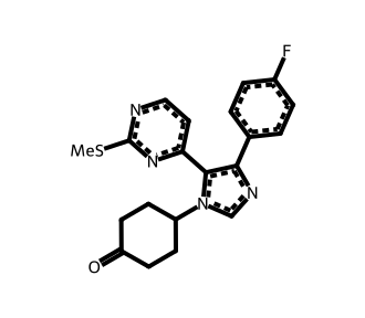 CSc1nccc(-c2c(-c3ccc(F)cc3)ncn2C2CCC(=O)CC2)n1